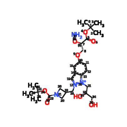 CC(C)(C)OC(=O)[C@H](COc1ccc2c(c1)cn(CC1CN(C(=O)OC(C)(C)C)C1)[n+]2CC(O)CO)ON